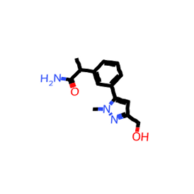 C[C](C(N)=O)c1cccc(-c2cc(CO)nn2C)c1